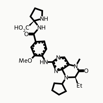 CC[C@@H]1C(=O)N(C)c2cnc(Nc3ccc(C(=O)N[C@]4(C(=O)O)CCCN4)cc3OC)nc2N1C1CCCC1